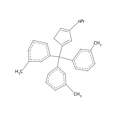 CCCC1=CCC(C(c2cccc(C)c2)(c2cccc(C)c2)c2cccc(C)c2)=C1